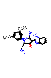 COc1cc(OC)cc(N2C(N)=C(c3nc4ccccc4[nH]3)C(=O)C2CN)c1